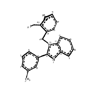 Cc1cccc(-c2nc3ccccc3n2Cc2ccccc2I)c1